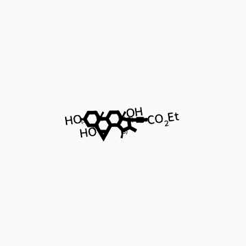 CCOC(=O)C#C[C@]1(O)C(C)[C@@H](C)C2C3C4CC4[C@]4(O)C[C@@H](O)CC[C@]4(C)C3CC[C@@]21C